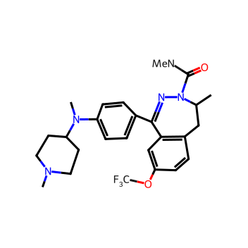 CNC(=O)N1N=C(c2ccc(N(C)C3CCN(C)CC3)cc2)c2cc(OC(F)(F)F)ccc2CC1C